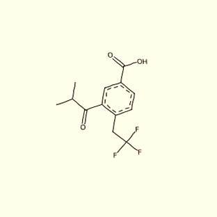 CC(C)C(=O)c1cc(C(=O)O)ccc1CC(F)(F)F